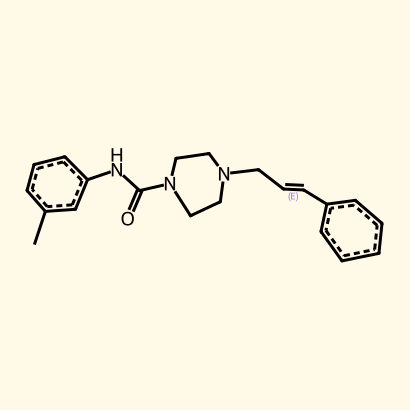 Cc1cccc(NC(=O)N2CCN(C/C=C/c3ccccc3)CC2)c1